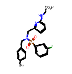 CC(C)(C)c1ccc(CN(Cc2cccc(NCC(=O)O)n2)S(=O)(=O)c2cccc(F)c2)cc1